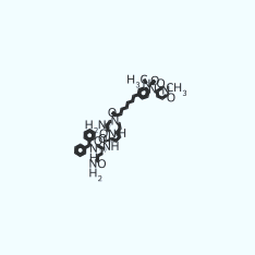 CN1C(=O)CCC(n2c(=O)n(C)c3cc(CCCCCCC(=O)N4CC[C@H]5CC[C@@H](C(=O)N[C@@H](CCC(N)=O)C(O)NC(c6ccccc6)c6ccccc6)N5C(=O)[C@@H](N)C4)ccc32)C1=O